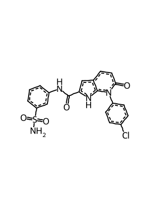 NS(=O)(=O)c1cccc(NC(=O)c2cc3ccc(=O)n(-c4ccc(Cl)cc4)c3[nH]2)c1